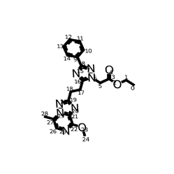 CCOC(=O)Cn1nc(-c2ccccc2)nc1CCc1nc2c(OC)ncc(C)n2n1